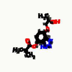 C=C(C)C(=O)Oc1ccc(OCC(C)O)c2nn[nH]c12